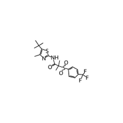 Cc1nc(NC(=O)C(C)(C)S(=O)(=O)c2ccc(C(F)(F)F)cc2)sc1C(C)(C)C